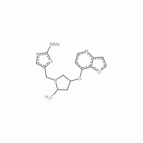 CNc1ncc(CN2CC(Oc3ccnc4ccoc34)CC2C)s1